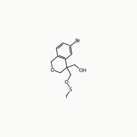 OCC1(COSI)COCc2ccc(Br)cc21